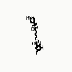 CC(C)(OC(=O)CCCCOC(=O)c1cc(I)cc(I)c1I)C1CCNCC1